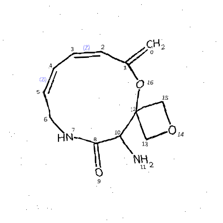 C=C1/C=C\C=C/CNC(=O)C(N)C2(COC2)O1